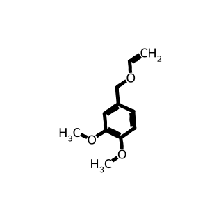 C=COCc1ccc(OC)c(OC)c1